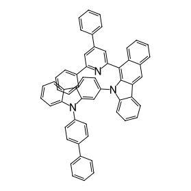 c1ccc(-c2ccc(-n3c4ccccc4c4ccc(-n5c6ccccc6c6cc7ccccc7c(-c7cc(-c8ccccc8)cc(-c8ccccc8)n7)c65)cc43)cc2)cc1